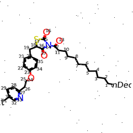 CCCCCCCCCCCCCCCCCCCCCC(=O)N1C(=O)SC(Cc2ccc(OCCc3ccc(CC)cn3)cc2)C1=O